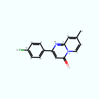 Cc1ccn2c(=O)cc(-c3ccc(F)cc3)nc2c1